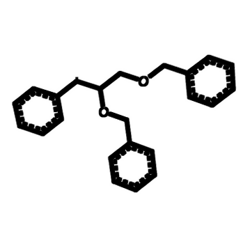 [CH](c1ccccc1)C(COCc1ccccc1)OCc1ccccc1